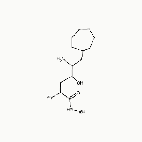 CCCCNC(=O)C(CC(O)C(N)CC1CCCCCC1)C(C)C